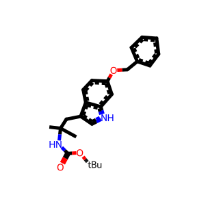 CC(C)(Cc1c[nH]c2cc(OCc3ccccc3)ccc12)NC(=O)OC(C)(C)C